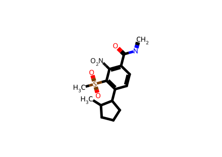 C=NC(=O)c1ccc(C2CCCC2C)c(S(C)(=O)=O)c1[N+](=O)[O-]